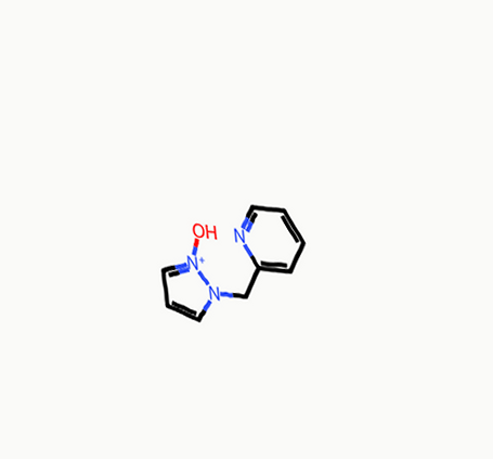 O[n+]1cccn1Cc1ccccn1